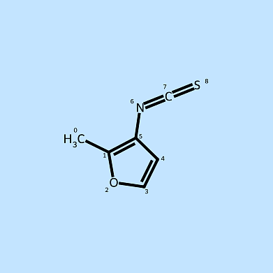 Cc1occc1N=C=S